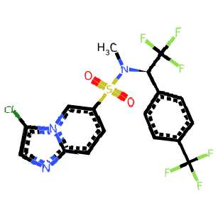 CN([C@H](c1ccc(C(F)(F)F)cc1)C(F)(F)F)S(=O)(=O)c1ccc2ncc(Cl)n2c1